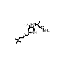 C[C@@H](CON)NC1=CNN(COCC[Si](C)(C)C)C=C1C(F)(F)F